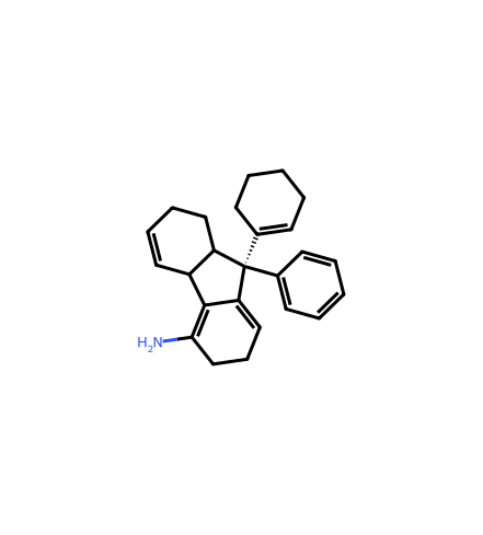 NC1=C2C(=CCC1)[C@](C1=CCCCC1)(c1ccccc1)C1CCC=CC21